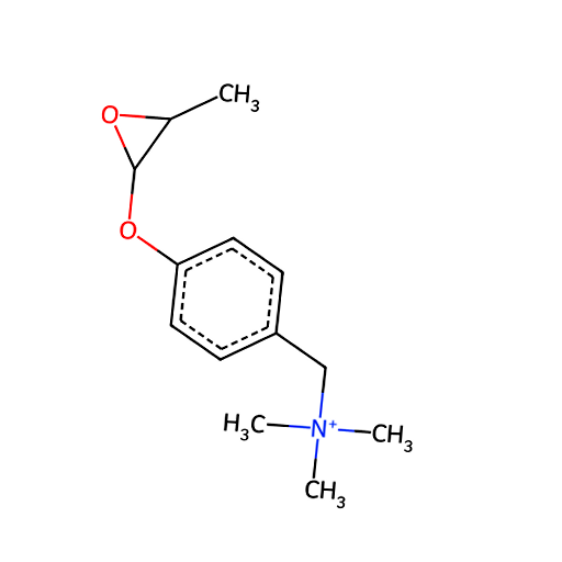 CC1OC1Oc1ccc(C[N+](C)(C)C)cc1